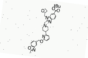 Cc1nc2cc(COc3cccc(C4CCN(Cc5nc6ccc(C(=O)OC(C)(C)C)cc6n5CC5CCO5)CC4)n3)ccc2o1